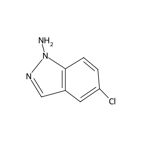 Nn1ncc2cc(Cl)ccc21